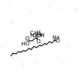 CCCCCCCCCCCCCCCCC[C](=O)[Na].O=C(O)CCC(=O)O.[CaH2].[NaH]